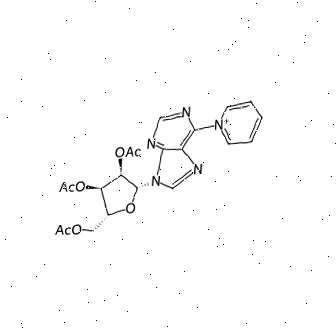 CC(=O)OC[C@H]1O[C@@H](n2cnc3c(-[n+]4ccccc4)ncnc32)[C@H](OC(C)=O)[C@@H]1OC(C)=O